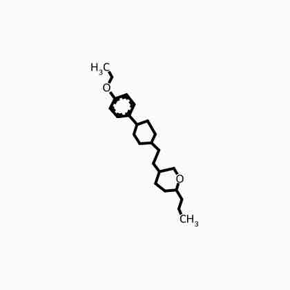 CCCC1CCC(CCC2CCC(c3ccc(OCC)cc3)CC2)CO1